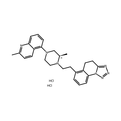 Cc1ccc2c(N3CCN(CCc4cccc5c4CCc4nnnn4-5)[C@H](C)C3)cccc2n1.Cl.Cl